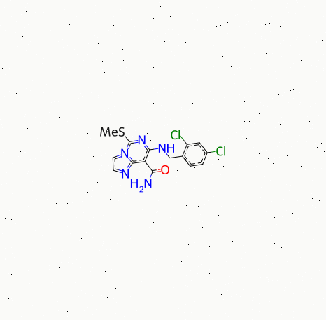 CSc1nc(NCc2ccc(Cl)cc2Cl)c(C(N)=O)c2nccn12